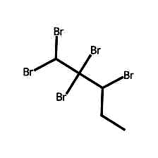 CCC(Br)C(Br)(Br)C(Br)Br